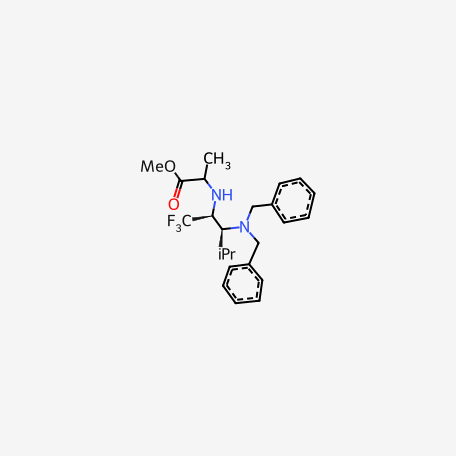 COC(=O)C(C)N[C@@H]([C@H](C(C)C)N(Cc1ccccc1)Cc1ccccc1)C(F)(F)F